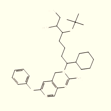 CC(C)(C)OC(CCCC(C1CCCCC1)N1Cc2cc(Oc3ccccc3)ncc2N=C1N)C(N)CN